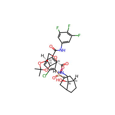 CC1(C)O[C@H]2[C@H](CO[C@@H]2C(=O)NC[C@@]2(O)C3CC[C@H]2C[C@H](S(=O)(=O)c2cc(C(=O)Nc4cc(F)c(F)c(F)c4)ccc2Cl)C3)O1